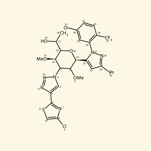 COC1C(n2cc(-c3nc(Cl)cs3)nn2)[C@@H](OC)C(C(C)O)O[C@H]1c1cc(C(C)C)nn1-c1cc(Cl)ccc1C(F)(F)F